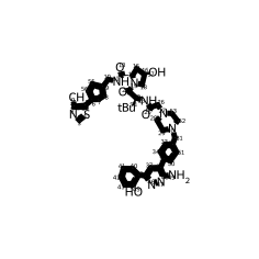 Cc1ncsc1-c1ccc(CNC(=O)[C@@H]2C[C@@H](O)CN2C(=O)[C@@H](NC(=O)CN2CCN(Cc3ccc(-c4cc(-c5ccccc5O)nnc4N)cc3)CC2)C(C)(C)C)cc1